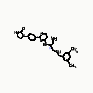 Cc1cc(C)cc(CN/C=C(\C=N)Nc2ccnc(-c3ccc(N4CCNC4=O)cc3)n2)c1